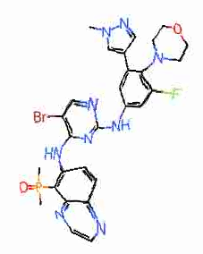 Cn1cc(-c2cc(Nc3ncc(Br)c(Nc4ccc5nccnc5c4P(C)(C)=O)n3)cc(F)c2N2CCOCC2)cn1